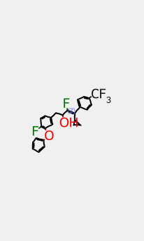 OC(Cc1ccc(F)c(Oc2ccccc2)c1)/C(F)=C(/c1ccc(C(F)(F)F)cc1)C1CC1